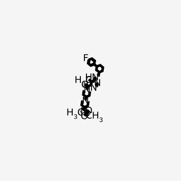 Cc1c(NCC2CCCC(c3ccc(F)cc3)C2)ncnc1C(=O)N1CCC(N2CCC(N(C)S(C)(=O)=O)CC2)CC1